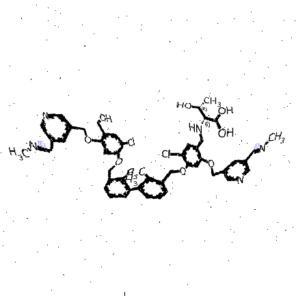 C/N=C/c1cncc(COc2cc(OCc3cccc(-c4cccc(COc5cc(OCc6cncc(/C=N/C)c6)c(CN[C@@H](C(O)O)[C@@H](C)O)cc5Cl)c4C)c3C)c(Cl)cc2CO)c1